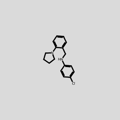 Clc1ccc(NCc2ccccc2N2CCCC2)cc1